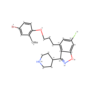 COc1cc(Br)ccc1OCCCc1cc(F)cc2onc(C3CCNCC3)c12